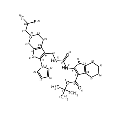 CC(C)(C)OC(=O)c1c(NC(=O)NCc2c(-n3cccc3)sc3c2CCN(CC(F)F)C3)sc2c1CCCC2